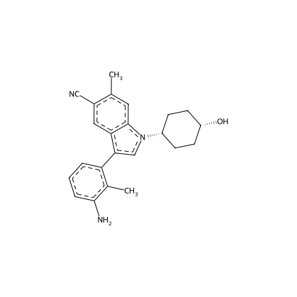 Cc1cc2c(cc1C#N)c(-c1cccc(N)c1C)cn2[C@H]1CC[C@@H](O)CC1